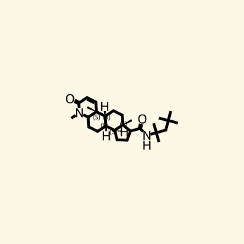 CN1C(=O)C=C[C@@]2(C)C1CC[C@@H]1[C@H]2CC[C@]2(C)C(C(=O)NC(C)(C)CC(C)(C)C)CC[C@@H]12